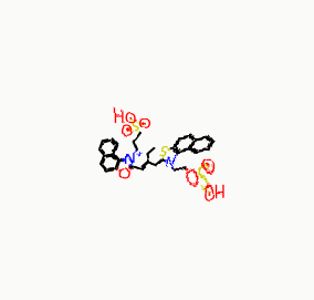 CCC(=Cc1oc2ccc3ccccc3c2[n+]1CCCS(=O)(=O)O)C=C1Sc2ccc3ccccc3c2N1CCOS(=O)O